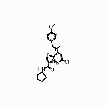 COc1ccc(CN(C)c2cc(Cl)nn3c(C(=O)NC4CCCC4)cnc23)cc1